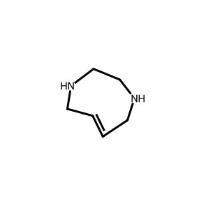 C1=C/CNCCNC/1